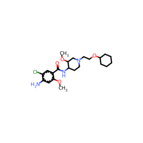 COc1cc(N)c(Cl)cc1C(=O)NC1CCN(CCOC2CCCCC2)CC1OC